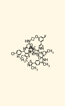 Cc1ncsc1-c1ccc([C@H](C)NC(=O)[C@@H]2C[C@@H](C)CN2C(=O)[C@@H](C(C)C)n2cc(-c3cc(F)cc(O[C@H]4C[C@H](NC(=O)C[C@@H]5N=C(c6ccc(Cl)cc6)c6c(sc(C)c6C)-n6c(C)nnc65)C4)c3)cn2)cc1